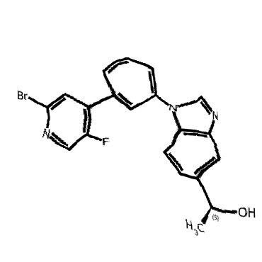 C[C@H](O)c1ccc2c(c1)ncn2-c1cccc(-c2cc(Br)ncc2F)c1